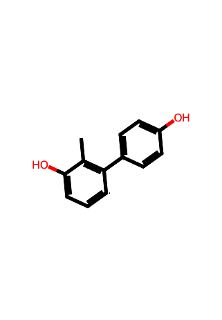 Cc1c(-c2ccc(O)cc2)[c]ccc1O